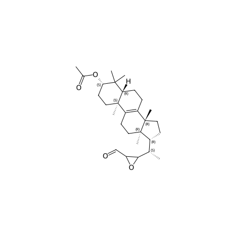 CC(=O)O[C@H]1CC[C@]2(C)C3=C(CC[C@H]2C1(C)C)[C@]1(C)CC[C@H]([C@H](C)C2OC2C=O)[C@@]1(C)CC3